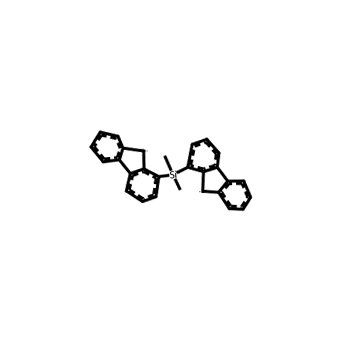 C[Si](C)(c1cccc2c1[CH]c1ccccc1-2)c1cccc2c1[CH]c1ccccc1-2